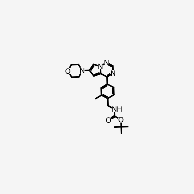 Cc1cc(-c2ncnn3cc(N4CCOCC4)cc23)ccc1CNC(=O)OC(C)(C)C